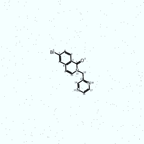 O=c1c2ccc(Br)cc2ccn1Cc1cnccn1